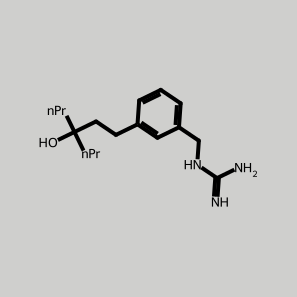 CCCC(O)(CCC)CCc1cccc(CNC(=N)N)c1